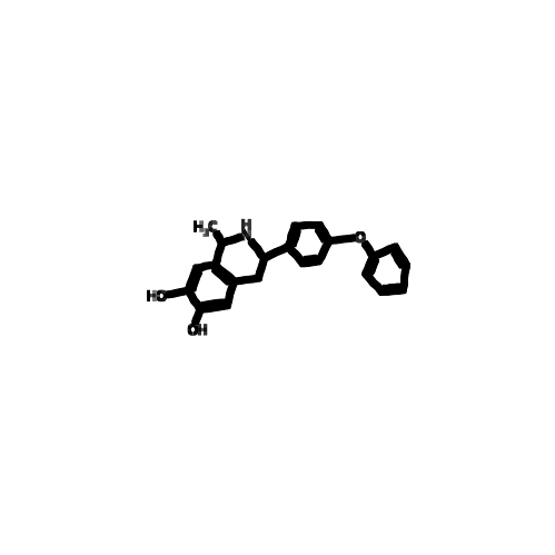 CC1NC(c2ccc(Oc3ccccc3)cc2)Cc2cc(O)c(O)cc21